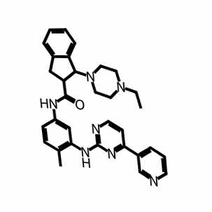 CCN1CCN(C2c3ccccc3CC2C(=O)Nc2ccc(C)c(Nc3nccc(-c4cccnc4)n3)c2)CC1